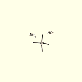 C[N+](C)(C)C.[OH-].[SiH4]